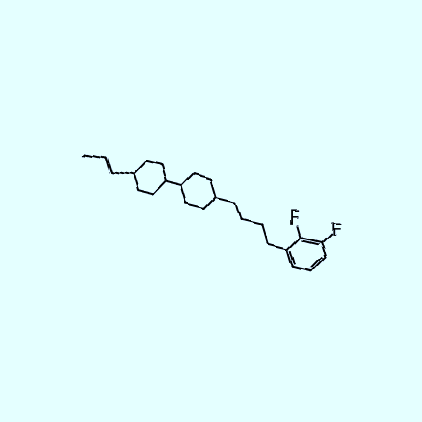 CCCC1CCC(C2CCC(CCCCc3cccc(F)c3F)CC2)CC1